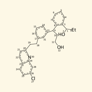 CCC(O)c1ccccc1C(CCO)c1cccc(CCc2ccc3ccc(Cl)cc3n2)c1